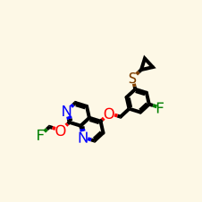 FCOc1nccc2c(OCc3cc(F)cc(SC4CC4)c3)ccnc12